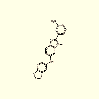 Cc1c(-c2ccnc(N)n2)sc2ccc(Nc3ccc4c(c3)OCO4)cc12